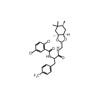 C[C@H]1C[C@H]2OB(CNC(=O)C(Cc3ccc(C(F)(F)F)cc3)NC(=O)c3cc(Cl)ccc3Cl)O[C@@]2(C)CC1(C)C